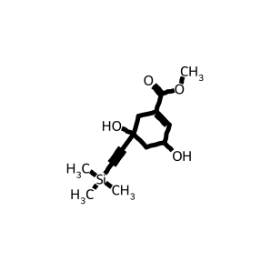 COC(=O)C1=CC(O)CC(O)(C#C[Si](C)(C)C)C1